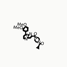 COc1ccc(-c2ccnc3cc(C(=O)N4CCN(C(=O)C5CC5)CC4)nn23)cc1OC